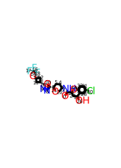 O=C(N[C@@H]1CC[C@@H](c2nnc([C@H]3C[C@@H](OC(F)(F)F)C3)o2)OC1)C1CC(O)c2cc(Cl)ccc2O1